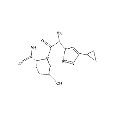 CC(C)(C)C(C(=O)N1CC(O)C[C@@H]1C(N)=O)n1cc(C2CC2)nn1